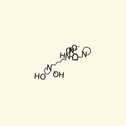 O=[N+]([O-])c1cc(CN2CCCCCC2)ccc1NCCCCCCN1CC[C@@H](O)C[C@H]1CO